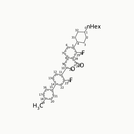 CCCCCCC1CCC(c2ccc3cc(-c4ccc(-c5ccc(C)cc5)cc4F)oc(=O)c3c2F)CC1